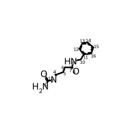 NC(=O)N=CCCC(=O)NCc1ccccc1